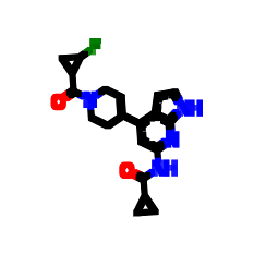 O=C(Nc1cc(C2=CCN(C(=O)C3CC3F)CC2)c2cc[nH]c2n1)C1CC1